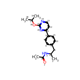 CC(=O)NC(C)Cc1ccc(-c2ccnc(OC(C)C)n2)cc1